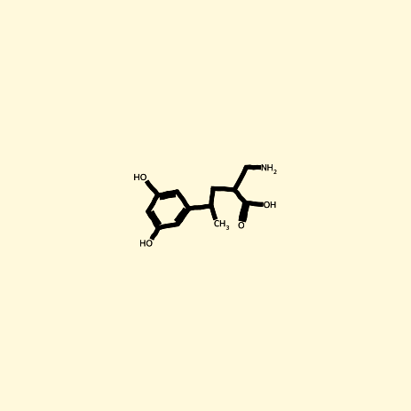 CC(CC(CN)C(=O)O)c1cc(O)cc(O)c1